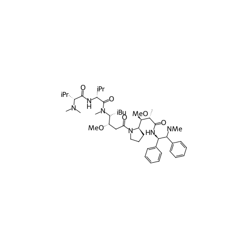 CC[C@@H](C)C([C@H](CC(=O)N1CCC[C@@H]1[C@@H](OC)[C@H](C)C(=O)N[C@H](c1ccccc1)C(NC)c1ccccc1)OC)N(C)C(=O)[C@H](NC(=O)[C@@H](C(C)C)N(C)C)C(C)C